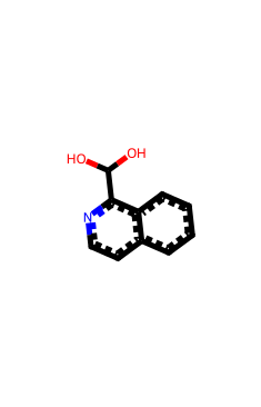 OC(O)c1nccc2ccccc12